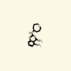 Nc1cccc2nc(NC3CCCCCCC3)nc(N)c12